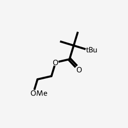 COCCOC(=O)C(C)(C)C(C)(C)C